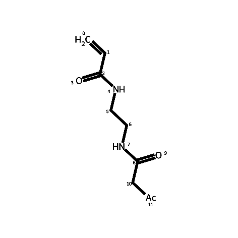 C=CC(=O)NCCNC(=O)CC(C)=O